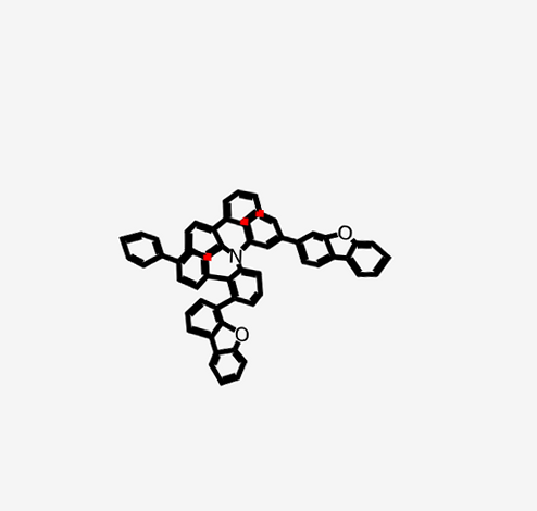 c1ccc(-c2ccc(-c3c(-c4cccc5c4oc4ccccc45)cccc3N(c3cccc(-c4ccc5c(c4)oc4ccccc45)c3)c3ccccc3-c3ccccc3)cc2)cc1